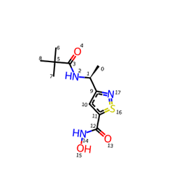 C[C@H](NC(=O)C(C)(C)C)c1cc(C(=O)NO)sn1